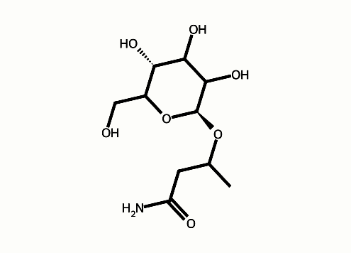 CC(CC(N)=O)O[C@H]1OC(CO)[C@H](O)C(O)C1O